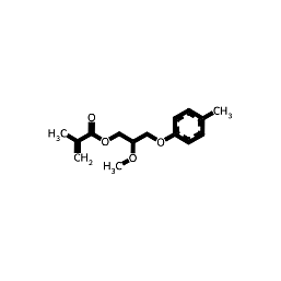 C=C(C)C(=O)OCC(COc1ccc(C)cc1)OC